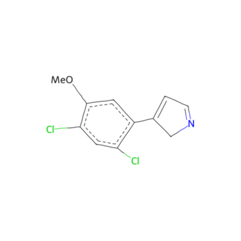 COc1cc(C2=CC=NC2)c(Cl)cc1Cl